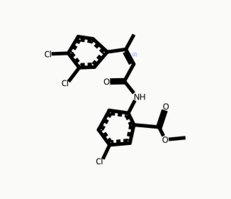 COC(=O)c1cc(Cl)ccc1NC(=O)/C=C(/C)c1ccc(Cl)c(Cl)c1